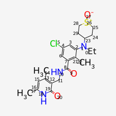 CCN(c1cc(Cl)cc(C(=O)NCc2c(C)cc(C)[nH]c2=O)c1C)C1CC[S+]([O-])CC1